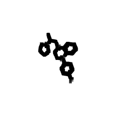 CC(CN1CCN(c2ccc(F)cc2)c2ccccc21)N1CCCC1